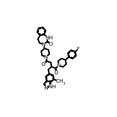 Cc1cc(CC(CC(=O)N2CCC(N3CCc4ccccc4NC3=O)CC2)C(=O)N2CCC(c3ccc(F)cc3)CC2)cc2cn[nH]c12